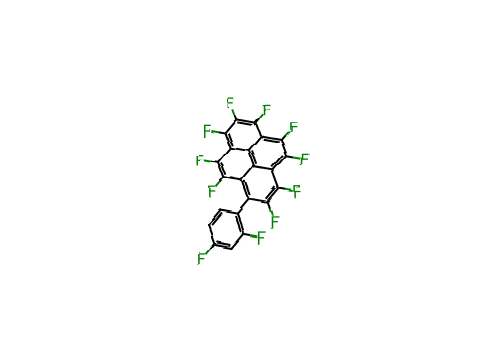 Fc1ccc(-c2c(F)c(F)c3c(F)c(F)c4c(F)c(F)c(F)c5c(F)c(F)c2c3c45)c(F)c1